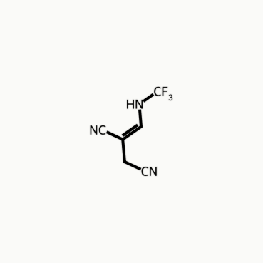 N#CCC(C#N)=CNC(F)(F)F